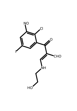 O=CC(=CNCCO)C(=O)c1cc(I)cc(N=O)c1Cl